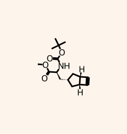 COC(=O)[C@H](C[C@H]1C[C@H]2C#C[C@H]2C1)NC(=O)OC(C)(C)C